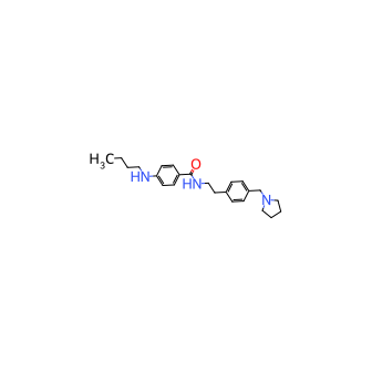 CCCCNc1ccc(C(=O)NCCc2ccc(CN3CCCC3)cc2)cc1